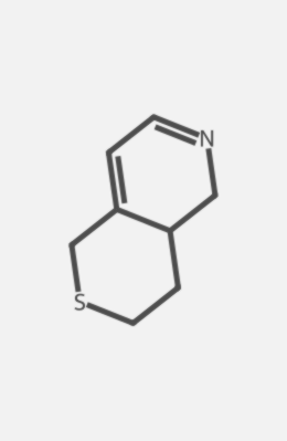 C1=NCC2CCSCC2=C1